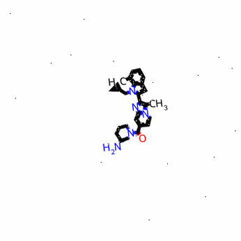 Cc1cccc2cc(-c3nc4cc(C(=O)N5CCC[C@@H](N)C5)ccn4c3C)n(CC3CC3)c12